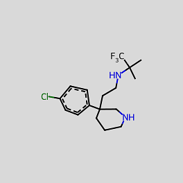 CC(C)(NCCC1(c2ccc(Cl)cc2)CCCNC1)C(F)(F)F